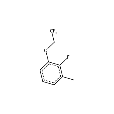 Cc1cccc(OCC(F)(F)F)c1F